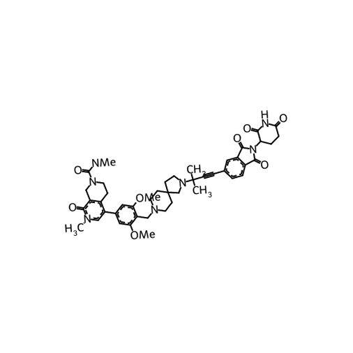 CNC(=O)N1CCc2c(-c3cc(OC)c(CN4CCC5(CC4)CCN(C(C)(C)C#Cc4ccc6c(c4)C(=O)N(C4CCC(=O)NC4=O)C6=O)C5)c(OC)c3)cn(C)c(=O)c2C1